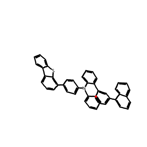 c1ccc(N(c2ccc(-c3cccc4c3sc3ccccc34)cc2)c2ccccc2-c2cccc(-c3cccc4ccccc34)c2)cc1